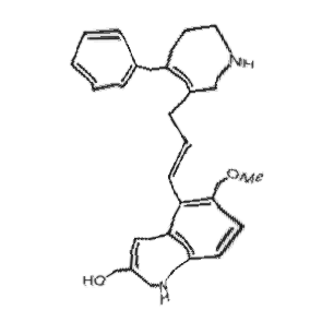 COc1ccc2[nH]c(O)cc2c1C=CCC1=C(c2ccccc2)CCNC1